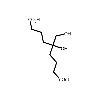 CCCCCCCCCCCC(O)(CO)CCCC(=O)O